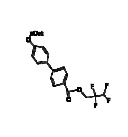 CCCCCCCCOc1ccc(-c2ccc(C(=O)OCC(F)(F)C(F)F)cc2)cc1